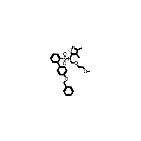 COCCOCN(c1onc(C)c1C)S(=O)(=O)c1ccccc1-c1ccc(OCc2ccccc2)cc1